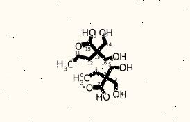 CCC(CO)(CO)C(=O)O.CCCC(CO)(CO)C(=O)O